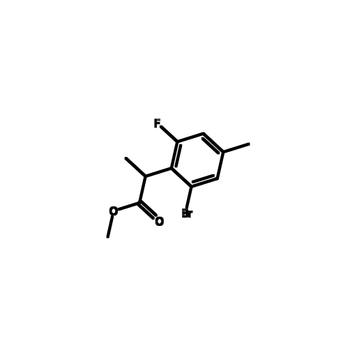 COC(=O)C(C)c1c(F)cc(C)cc1Br